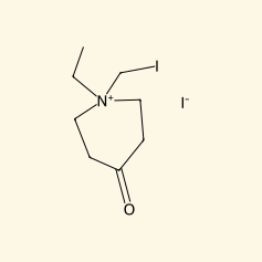 CC[N+]1(CI)CCC(=O)CC1.[I-]